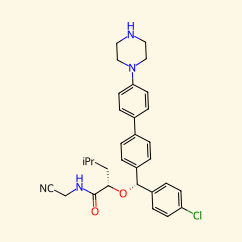 CC(C)C[C@H](O[C@@H](c1ccc(Cl)cc1)c1ccc(-c2ccc(N3CCNCC3)cc2)cc1)C(=O)NCC#N